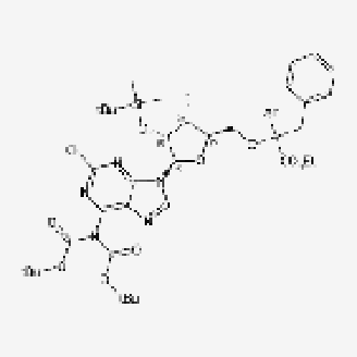 CCOC(=O)C(Cc1ccccc1)(OC[C@H]1O[C@@H](n2cnc3c(N(C(=O)OC(C)(C)C)C(=O)OC(C)(C)C)nc(Cl)nc32)[C@H](O[Si](C)(C)C(C)(C)C)[C@@H]1C)C(C)=O